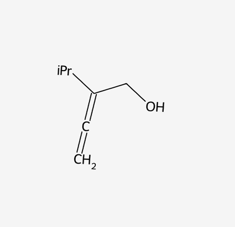 C=C=C(CO)C(C)C